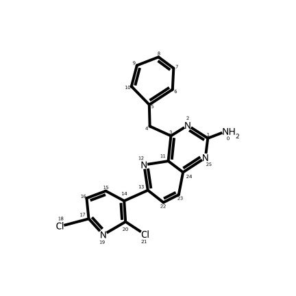 Nc1nc(Cc2ccccc2)c2nc(-c3ccc(Cl)nc3Cl)ccc2n1